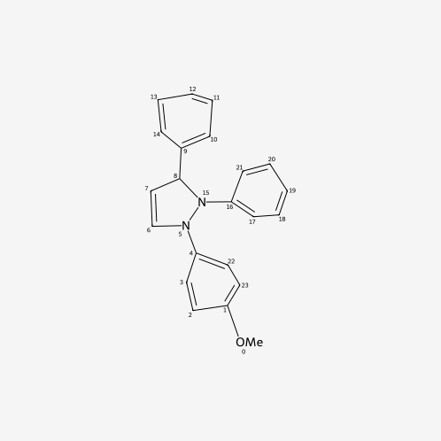 COc1ccc(N2C=CC(c3ccccc3)N2c2ccccc2)cc1